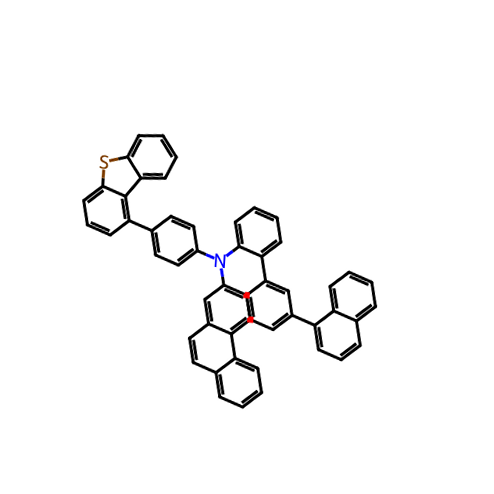 c1cc(-c2ccccc2N(c2ccc(-c3cccc4sc5ccccc5c34)cc2)c2ccc3c(ccc4ccccc43)c2)cc(-c2cccc3ccccc23)c1